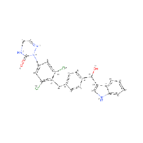 O=C1NCC=NN1c1cc(Cl)c(Cc2ccc(C(O)c3c[nH]c4ccccc34)cc2)c(Cl)c1